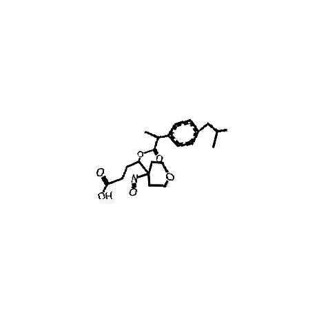 CC(C)Cc1ccc(C(C)C(=O)OC(CCC(=O)O)C2(N=O)CCOCC2)cc1